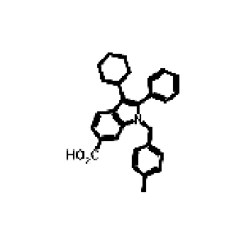 Cc1ccc(Cn2c(-c3ccccc3)c(C3CCCCC3)c3ccc(C(=O)O)cc32)cc1